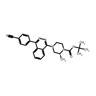 C[C@H]1CN(c2nnc(-c3ccc(C#N)cc3)c3ccccc23)CCN1C(=O)OC(C)(C)C